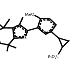 CCOC(=O)C1CC1c1ccc(OC)c(-c2sc3c(c2C)C(C)(C)CCC3(C)C)c1